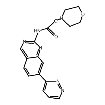 O=C(CN1CCOCC1)Nc1ncc2ccc(-c3cccnn3)cc2n1